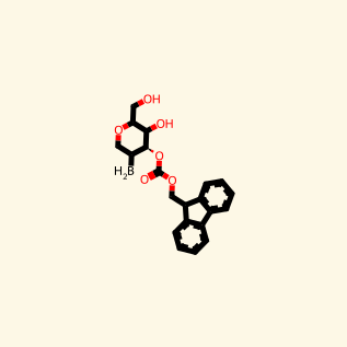 BC1COC(CO)C(O)[C@@H]1OC(=O)OCC1c2ccccc2-c2ccccc21